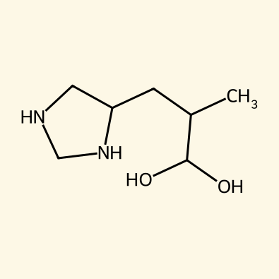 CC(CC1CNCN1)C(O)O